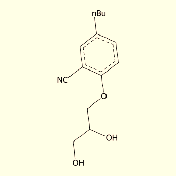 CCCCc1ccc(OCC(O)CO)c(C#N)c1